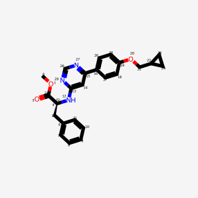 COC(=O)[C@H](Cc1ccccc1)Nc1cc(-c2ccc(OCC3CC3)cc2)ncn1